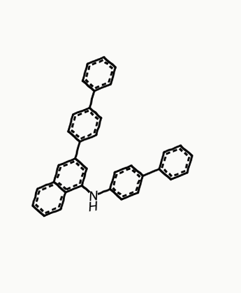 c1ccc(-c2ccc(Nc3cc(-c4ccc(-c5ccccc5)cc4)cc4ccccc34)cc2)cc1